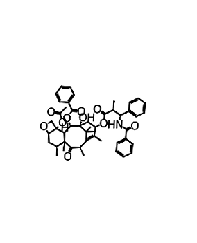 CC(=O)O[C@]12COC1C[C@H](C)[C@@]1(C)C(=O)[C@H](C)C3=C(C)[C@H](OC(=O)[C@@H](C)[C@H](NC(=O)c4ccccc4)c4ccccc4)C[C@@](O)([C@H](OC(=O)c4ccccc4)[C@H]12)C3(C)C